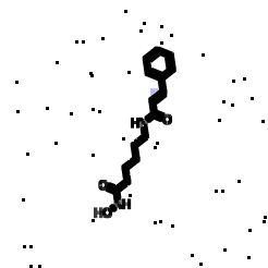 O=C(/C=C/c1ccccc1)NCCCCCC(=O)NO